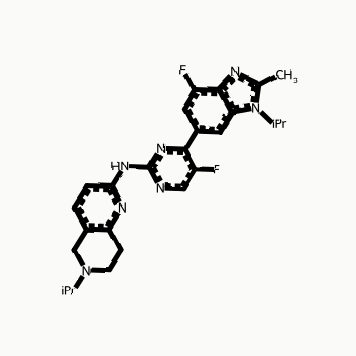 Cc1nc2c(F)cc(-c3nc(Nc4ccc5c(n4)CCN(C(C)C)C5)ncc3F)cc2n1C(C)C